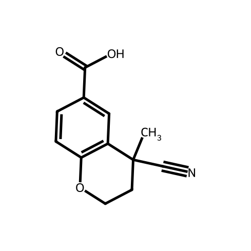 CC1(C#N)CCOc2ccc(C(=O)O)cc21